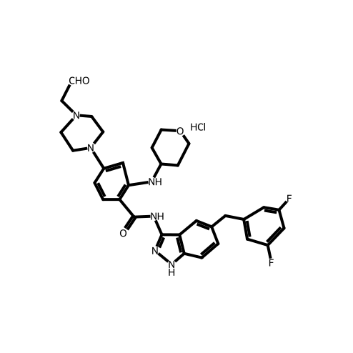 Cl.O=CCN1CCN(c2ccc(C(=O)Nc3n[nH]c4ccc(Cc5cc(F)cc(F)c5)cc34)c(NC3CCOCC3)c2)CC1